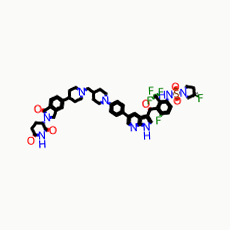 O=C1CCC(N2Cc3cc(C4CCN(CC5CCN(c6ccc(-c7cnc8[nH]cc(C(=O)c9c(F)ccc(NS(=O)(=O)N%10CC[C@@H](F)C%10)c9C(F)(F)F)c8c7)cc6)CC5)CC4)ccc3C2=O)C(=O)N1